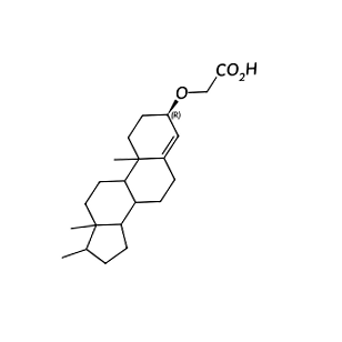 CC1CCC2C3CCC4=C[C@H](OCC(=O)O)CCC4(C)C3CCC12C